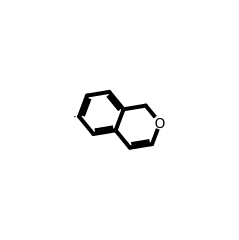 [c]1ccc2c(c1)C=COC2